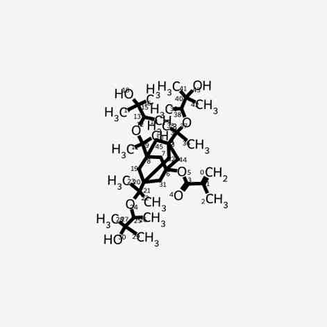 C=C(C)C(=O)OC12CC3(C(C)(C)OC(C)C(C)(C)O)CC(C(C)(C)OC(C)C(C)(C)O)(C1)CC(C(C)(C)OC(C)C(C)(C)O)(C2)C3